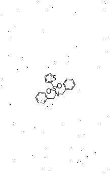 O=S(=O)(c1cccs1)N(Cc1ccccc1)Cc1ccccc1